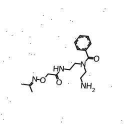 CC(C)=NOCC(=O)NCCN(CCN)C(=O)c1ccccc1